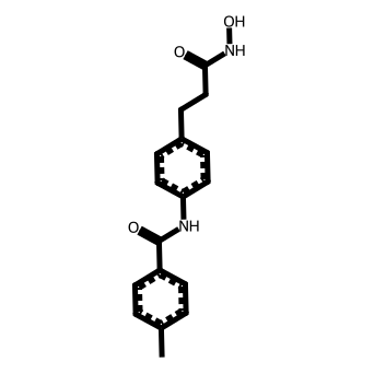 Cc1ccc(C(=O)Nc2ccc(CCC(=O)NO)cc2)cc1